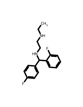 CCNCCNC(c1ccc(F)cc1)c1ccccc1F